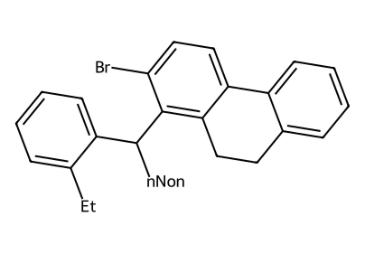 CCCCCCCCCC(c1ccccc1CC)c1c(Br)ccc2c1CCc1ccccc1-2